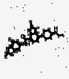 CCNC1CCN(c2ccc(C(=O)Nc3cc(F)c4nc(C)sc4c3)c3nn(C)cc23)CC1